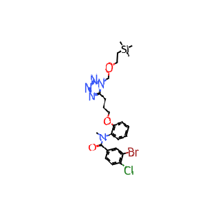 CN(C(=O)c1ccc(Cl)c(Br)c1)c1ccccc1OCCCc1nnnn1COCC[Si](C)(C)C